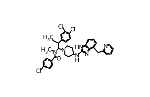 CCC(c1ccc(Cl)c(Cl)c1)C(N1CCC(Nc2nc3c(Cc4ccccn4)cccc3[nH]2)CC1)N(C)C(=O)c1ccc(Cl)cc1